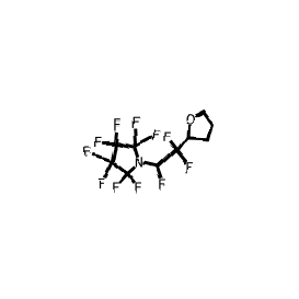 FC(N1C(F)(F)C(F)(F)C(F)(F)C1(F)F)C(F)(F)C1CCCO1